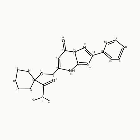 CN(C)C(=O)C1(OCc2cc(=O)n3nc(-c4ccccc4)nc3[nH]2)CCCCC1